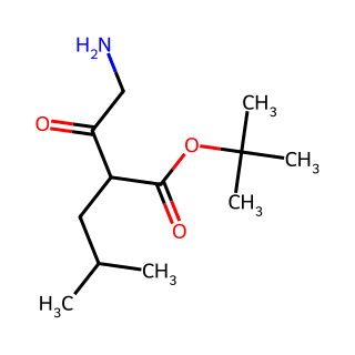 CC(C)CC(C(=O)CN)C(=O)OC(C)(C)C